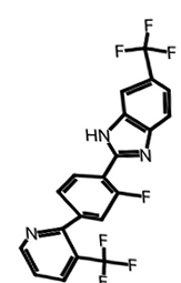 Fc1cc(-c2ncccc2C(F)(F)F)ccc1-c1nc2ccc(C(F)(F)F)cc2[nH]1